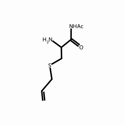 C=CCSCC(N)C(=O)NC(C)=O